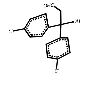 O=CCC(O)(c1ccc(Cl)cc1)c1ccc(Cl)cc1